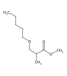 CCCCCOCC(C)C(=O)OC